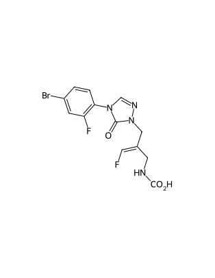 O=C(O)NCC(=CF)Cn1ncn(-c2ccc(Br)cc2F)c1=O